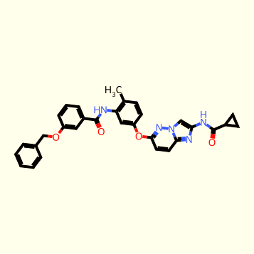 Cc1ccc(Oc2ccc3nc(NC(=O)C4CC4)cn3n2)cc1NC(=O)c1cccc(OCc2ccccc2)c1